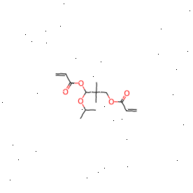 C=CC(=O)OCC(C)(C)C(OC(=O)C=C)OC(C)C